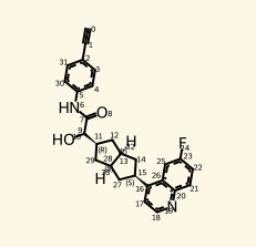 C#Cc1ccc(NC(=O)C(O)[C@H]2C[C@H]3C[C@@H](c4ccnc5ccc(F)cc45)C[C@H]3C2)cc1